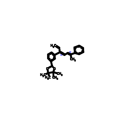 C=C/C(=C\C=C(/C)c1ccccc1)c1cccc(B2OC(C)(C)C(C)(C)O2)c1